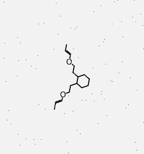 CC=COCCC1CCCCC1CCOC=CC